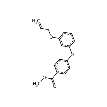 C=CCOc1cccc(Oc2ccc(C(=O)OC)cc2)c1